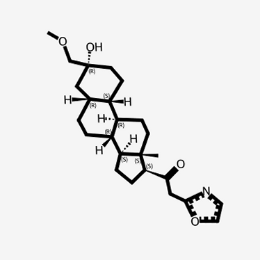 COC[C@@]1(O)CC[C@H]2[C@H](CC[C@@H]3[C@@H]2CC[C@]2(C)[C@@H](C(=O)Cc4ncco4)CC[C@@H]32)C1